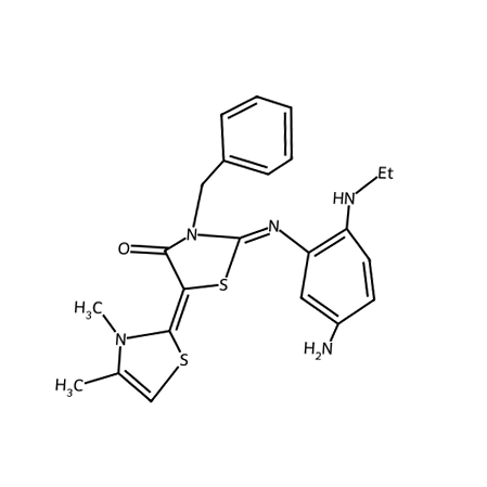 CCNc1ccc(N)cc1/N=C1\S/C(=C2\SC=C(C)N2C)C(=O)N1Cc1ccccc1